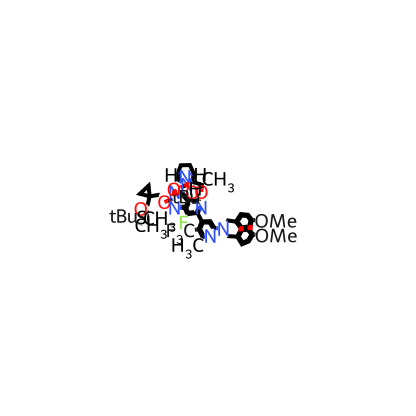 COc1ccc(CN(Cc2ccc(OC)cc2)c2cc(-c3nc4c5c(nc(OCC6(CO[Si](C)(C)C(C)(C)C)CC6)nc5c3F)N3C[C@H]5CC[C@@H]([C@H]3[C@H](C)O4)N5C(=O)OC(C)(C)C)c(C(F)(F)F)c(C)n2)cc1